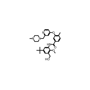 COc1c(CO)cc(C(C)(C)C)cc1NC(=O)c1ccc(C)c(Oc2ccnc(CN3CCN(C)CC3)c2)c1